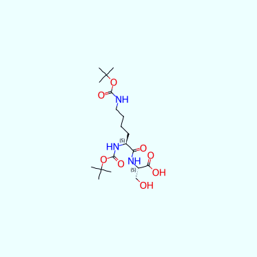 CC(C)(C)OC(=O)NCCCC[C@H](NC(=O)OC(C)(C)C)C(=O)N[C@@H](CO)C(=O)O